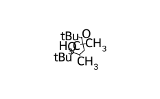 CC(CC(C)(C)C(=O)C(C)(C)C)C(=O)C(C)(C)C